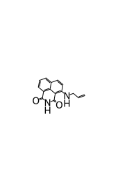 C=CCNc1ccc2cccc3c2c1C(=O)NC3=O